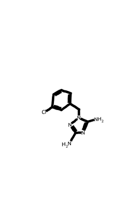 Nc1nc(N)n(Cc2cccc(Cl)c2)n1